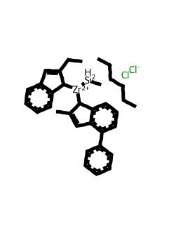 CCC1=Cc2ccccc2[CH]1[Zr+2]([SiH2]C)[CH]1C(C)=Cc2c(-c3ccccc3)cccc21.CCCCCC.[Cl-].[Cl-]